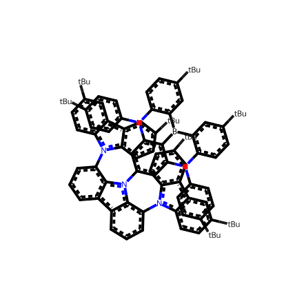 CC(C)(C)c1ccc(N2c3ccc(C(C)(C)C)cc3B3c4cc(C(C)(C)C)ccc4N(c4ccc(C(C)(C)C)cc4)c4cc(-n5c6c(-n7c8ccc(C(C)(C)C)cc8c8cc(C(C)(C)C)ccc87)cccc6c6cccc(-n7c8ccc(C(C)(C)C)cc8c8cc(C(C)(C)C)ccc87)c65)cc2c43)cc1